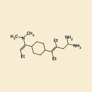 CC/C=C(\C1CCC(/C(CC)=C(\CC)CC(N)N)CC1)N(C)C